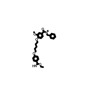 CCOC(=N)c1ccc(OCCCCCOc2ccc(C(=O)N(C)Cc3ccccc3)cc2OC)cc1